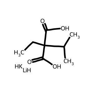 CCC(C(=O)O)(C(=O)O)C(C)C.[KH].[LiH]